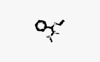 C=COC(c1ccccc1)[C@@H](C)NC